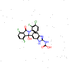 O=C(O)Nc1nc2ccc(C3(O)c4c(F)ccc(F)c4C(=O)N3c3cccc(Cl)c3F)cc2[nH]1